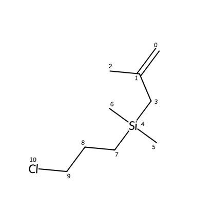 C=C(C)C[Si](C)(C)CCCCl